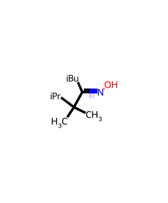 CCC(C)/C(=N\O)C(C)(C)C(C)C